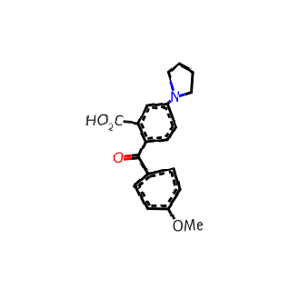 COc1ccc(C(=O)c2ccc(N3CCCC3)cc2C(=O)O)cc1